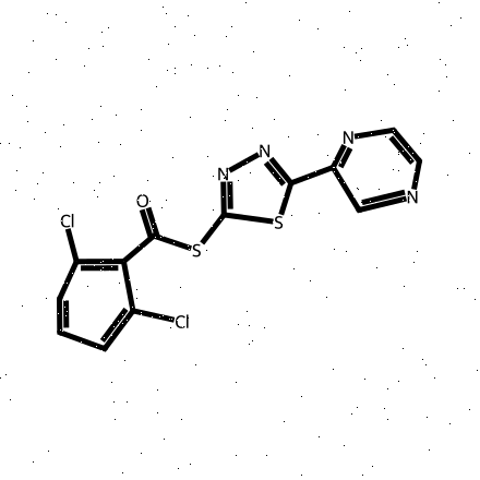 O=C(Sc1nnc(-c2cnccn2)s1)c1c(Cl)cccc1Cl